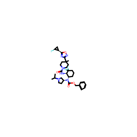 CC(C)N1CC[C@H](N(C(=O)OCc2ccccc2)[C@H]2CCCC(F)(F)[C@@H]2NC(=O)N2CCC(C)(c3noc([C@@H]4C[C@@H]4F)n3)CC2)C1